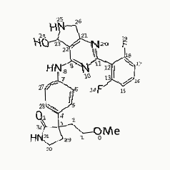 COCCC1(c2ccc(Nc3nc(-c4c(F)cccc4F)nc4c3C(O)NC4)cc2)CCNC1=O